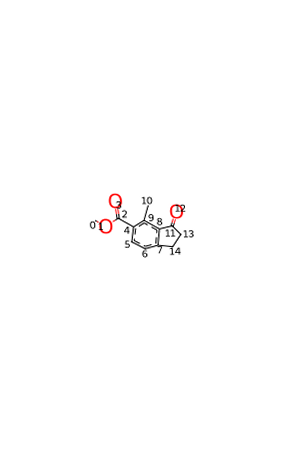 COC(=O)c1ccc2c(c1C)C(=O)CC2